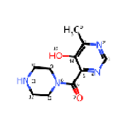 Cc1ncnc(C(=O)N2CCNCC2)c1O